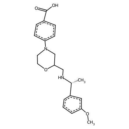 COc1cccc([C@@H](C)NCC2CN(c3ccc(C(=O)O)cc3)CCO2)c1